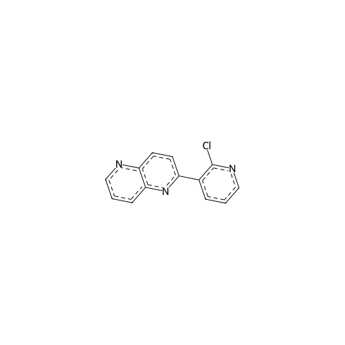 Clc1ncccc1-c1ccc2ncccc2n1